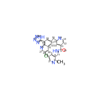 Cc1ncccc1CNC(=O)c1ccnc(Cc2cc(-c3nnn[nH]3)c3ncc(Cl)cc3c2)c1